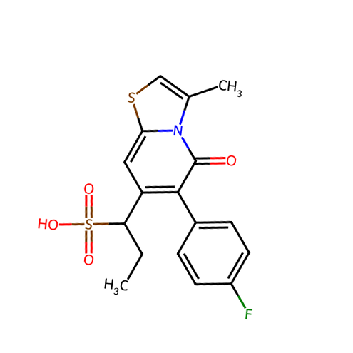 CCC(c1cc2scc(C)n2c(=O)c1-c1ccc(F)cc1)S(=O)(=O)O